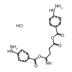 Cl.N=C(CCC(=O)OC(=O)c1ccc(NN)cc1)OC(=O)c1ccc(NN)cc1